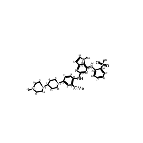 COc1cc(N2CCC(N3CCN(C)CC3)CC2)ccc1Nc1nc(Nc2ccccc2S(C)(=O)=O)c2c(ccn2C)n1